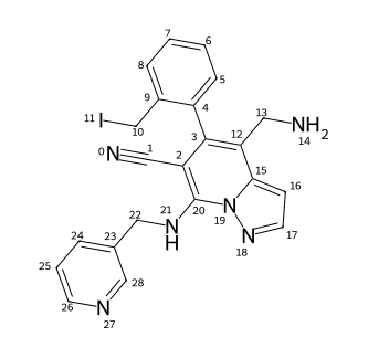 N#Cc1c(-c2ccccc2CI)c(CN)c2ccnn2c1NCc1cccnc1